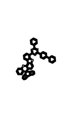 c1ccc(-c2ccc(-c3nc(-c4ccccc4)nc(-c4cccc5c4oc4ccc6c(c45)Oc4ccccc4C64c5ccccc5-c5ccccc54)n3)cc2)cc1